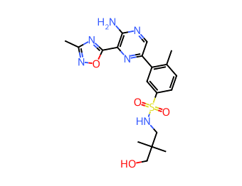 Cc1noc(-c2nc(-c3cc(S(=O)(=O)NCC(C)(C)CO)ccc3C)cnc2N)n1